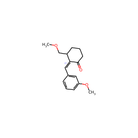 COCC1CCCC(=O)/C1=C\c1cccc(OC)c1